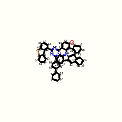 c1ccc(-c2ccc(-c3nc(-c4ccc5oc6ccccc6c5c4-n4c5ccccc5c5cc6ccccc6cc54)nc(-c4cccc5sc6ccccc6c45)n3)cc2)cc1